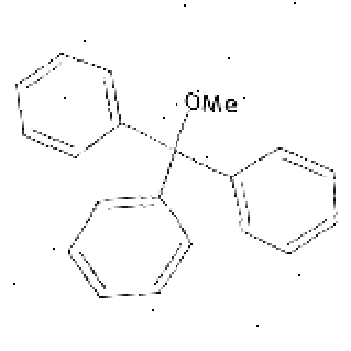 [C]OC(c1ccccc1)(c1ccccc1)c1ccccc1